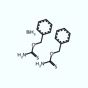 NC(=S)OCc1ccccc1.NC(=S)OCc1ccccc1.[BiH3]